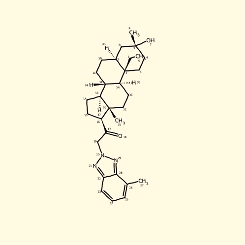 CC[C@]12CC[C@@](C)(O)C[C@@H]1CC[C@H]1[C@@H]3CC[C@H](C(=O)Cn4nc5cccc(C)c5n4)[C@@]3(C)CC[C@@H]12